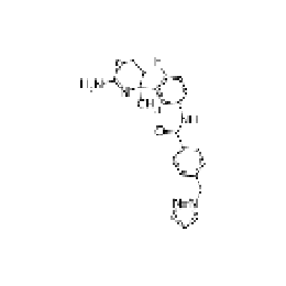 CC1(c2cc(NC(=O)c3ccc(Cn4cccn4)cc3)ccc2F)CCSC(N)=N1